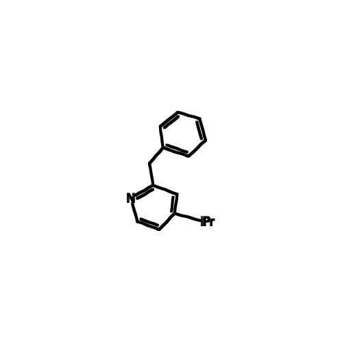 [CH2]C(C)c1ccnc(Cc2ccccc2)c1